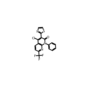 O=c1c(-c2nccs2)c(Cl)c2ccc(C(F)(F)F)nc2n1-c1ccccc1